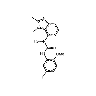 COc1ccc(F)cc1NC(=O)N(S)c1cccc2nc(C)n(C)c12